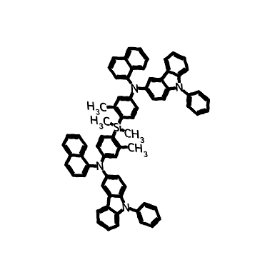 Cc1cc(N(c2ccc3c(c2)c2ccccc2n3-c2ccccc2)c2cccc3ccccc23)ccc1[Si](C)(C)c1ccc(N(c2ccc3c(c2)c2ccccc2n3-c2ccccc2)c2cccc3ccccc23)cc1C